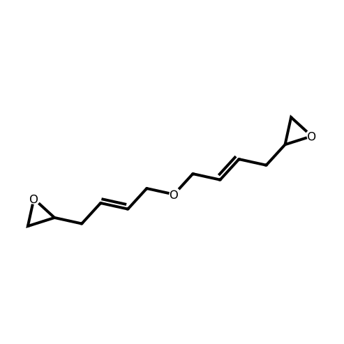 C(=CCC1CO1)COCC=CCC1CO1